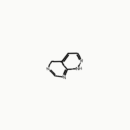 C1=NCC2=CC=NNC2=N1